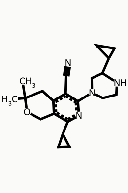 CC1(C)Cc2c(C#N)c(N3CCNC(C4CC4)C3)nc(C3CC3)c2CO1